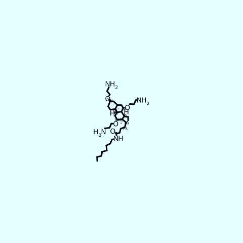 CCCCCCCCNC(=O)CC[C@@H](C)[C@H]1CC[C@H]2C3[C@H](OCCCN)CC4C[C@H](OCCCN)CC[C@]4(C)[C@H]3C[C@H](OCCCN)[C@]12C